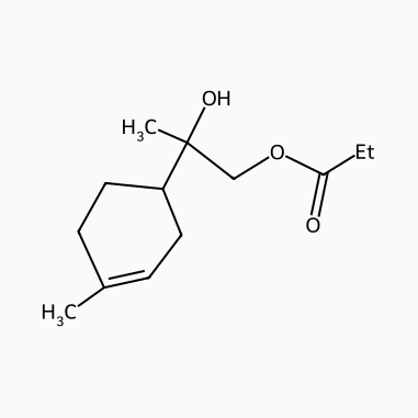 CCC(=O)OCC(C)(O)C1CC=C(C)CC1